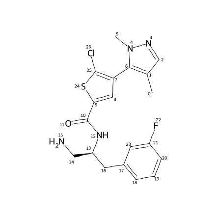 Cc1cnn(C)c1-c1cc(C(=O)N[C@H](CN)Cc2cccc(F)c2)sc1Cl